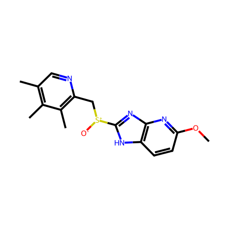 COc1ccc2[nH]c([S+]([O-])Cc3ncc(C)c(C)c3C)nc2n1